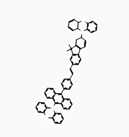 CC1(C)C2=C(C=CC(N3c4ccccc4OC4C=CC=CC43)C2)c2ccc(/C=C/c3ccc(-c4c5ccccc5c(N5c6ccccc6Oc6ccccc65)c5ccccc45)cc3)cc21